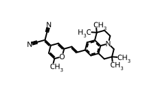 CC1=CC(=C(C#N)C#N)C=C(C=Cc2cc3c4c(c2)C(C)(C)CCN4CC(C)(C)C3)O1